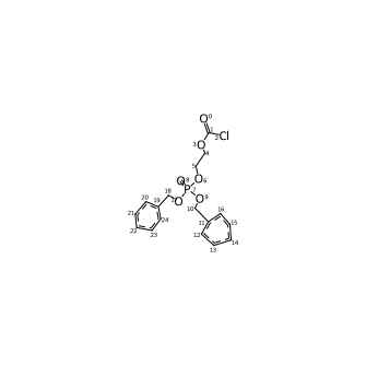 O=C(Cl)OCCOP(=O)(OCc1ccccc1)OCc1ccccc1